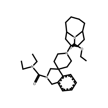 CCOC(=O)N1C2CCCCC1CC(N1CCC3(CC1)CN(C(=O)N(CC)CC)Cc1ccccc13)CC2